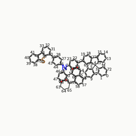 c1ccc(C2(c3ccccc3)c3ccccc3-c3ccc(-c4ccc(N(c5ccc(-c6cccc7c6sc6ccccc67)cc5)c5ccccc5-c5cccc6cccc(C7CCCCC7)c56)cc4)cc32)cc1